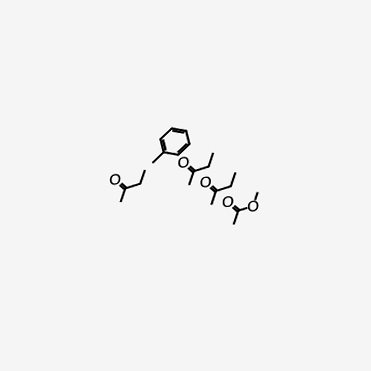 CCC(C)=O.CCC(C)=O.CCC(C)=O.COC(C)=O.Cc1ccccc1